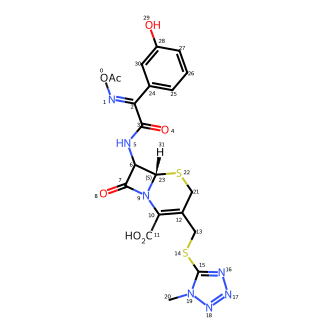 CC(=O)ON=C(C(=O)NC1C(=O)N2C(C(=O)O)=C(CSc3nnnn3C)CS[C@@H]12)c1cccc(O)c1